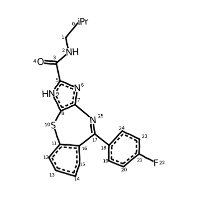 CC(C)CNC(=O)c1nc2c([nH]1)Sc1ccccc1C(c1ccc(F)cc1)=N2